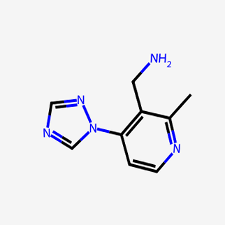 Cc1nccc(-n2cncn2)c1CN